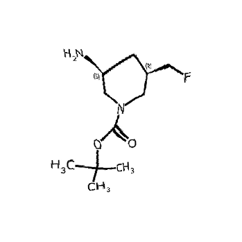 CC(C)(C)OC(=O)N1C[C@@H](N)C[C@@H](CF)C1